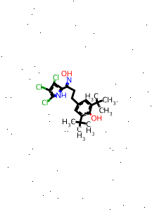 CC(C)(C)c1cc(CC/C(=N/O)c2[nH]c(Cl)c(Cl)c2Cl)cc(C(C)(C)C)c1O